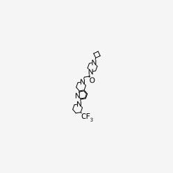 O=C(CN1CCc2nc(N3CCCC(C(F)(F)F)C3)ccc2C1)N1CCN(C2CCC2)CC1